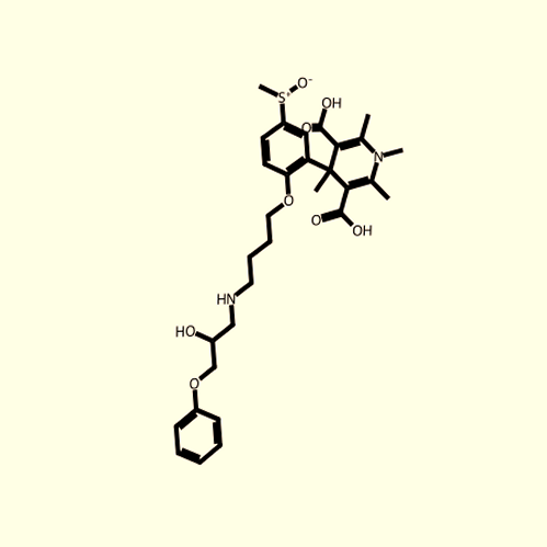 CC1=C(C(=O)O)C(C)(c2cc([S+](C)[O-])ccc2OCCCCNCC(O)COc2ccccc2)C(C(=O)O)=C(C)N1C